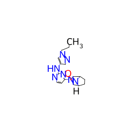 CCCn1cc(Nc2nccc(N3CC4CC[C@@H](C3)N4C=O)n2)cn1